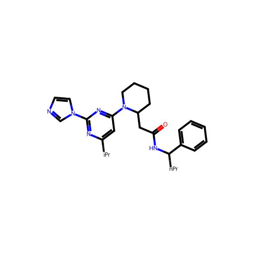 CCCC(NC(=O)CC1CCCCN1c1cc(C(C)C)nc(-n2ccnc2)n1)c1ccccc1